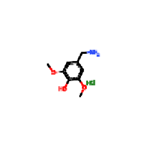 COc1cc(CN)cc(OC)c1O.Cl